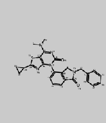 CN(C)c1nc(=O)n(-c2cccc3c2CN(Cc2ccccc2)C3=O)c2nc(C3CC3)sc12